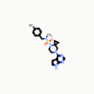 CN(Cc1ccc(C#N)cc1)S(=O)(=O)N1CCN(c2ncnc3[nH]ccc23)CC12CC2